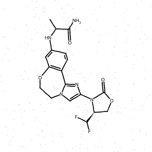 CC(Nc1ccc2c(c1)OCCn1cc(N3C(=O)OC[C@H]3C(F)F)nc1-2)C(N)=O